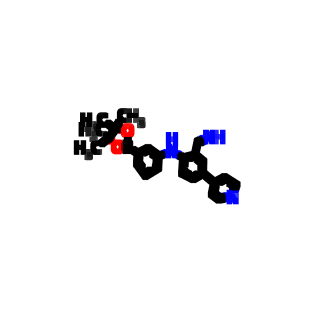 CC1(C)OB(c2cccc(Nc3ccc(-c4ccncc4)cc3C=N)c2)OC1(C)C